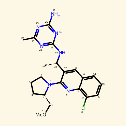 COC[C@@H]1CCCN1c1nc2c(Cl)cccc2cc1[C@H](C)Nc1nc(C)nc(N)n1